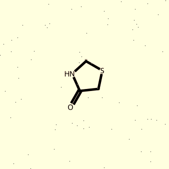 O=C1CS[C]N1